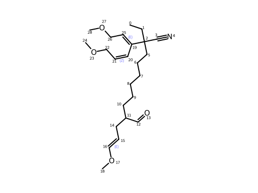 CCC(C#N)(CCCCCCC(C=O)C/C=C/OC)C(/C=C\COC)=C/COC